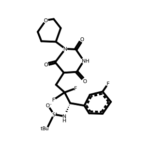 CC(C)(C)[S+]([O-])N[C@@H](c1cccc(F)c1)C(F)(F)CC1C(=O)NC(=O)N(C2CCOCC2)C1=O